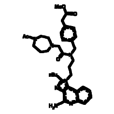 CCCCc1nc2c(N)nc3ccccc3c2n1CCCN(Cc1ccc(CC(=O)OC)cc1)C(=O)CN1CCCN(C(C)=O)CC1